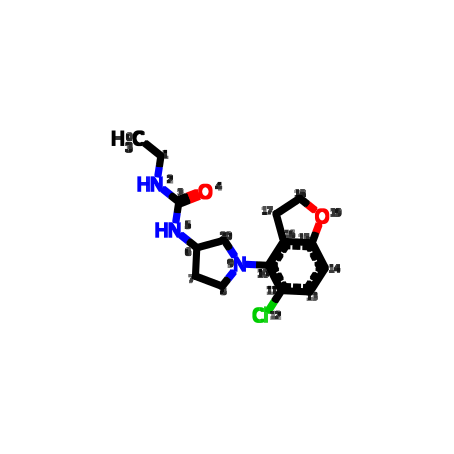 CCNC(=O)NC1CCN(c2c(Cl)ccc3c2CCO3)C1